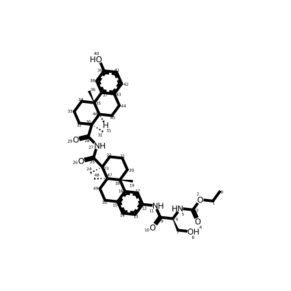 CCOC(=O)N[C@@H](CO)C(=O)Nc1ccc2c(c1)[C@@]1(C)CCC[C@](C)(C(=O)NC(=O)[C@@]3(C)CCC[C@]4(C)c5cc(O)ccc5CC[C@@H]34)[C@]1(C)CC2